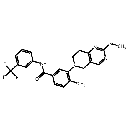 CSc1ncc2c(n1)CCN(c1cc(C(=O)Nc3cccc(C(F)(F)F)c3)ccc1C)C2